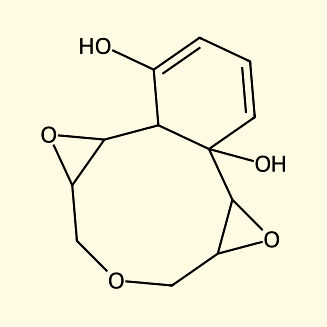 OC1=CC=CC2(O)C3OC3COCC3OC3C12